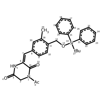 CC(=O)N1CC(=O)NC(=Cc2ccc(CO[Si](c3ccccc3)(c3ccccc3)C(C)(C)C)c(C)c2)C1=O